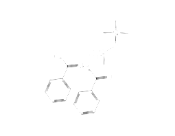 C[SiH2]O[Si](C)(C)C.O=C(Cl)c1ccccc1.O=C(Cl)c1ccccc1